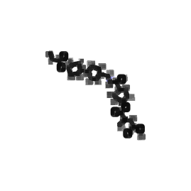 C=CC(=O)Oc1ccc(-c2ccc(/C=C/C(=O)c3ccc(OC(=O)C(=C)CC(=O)OC)cc3)cc2)cc1